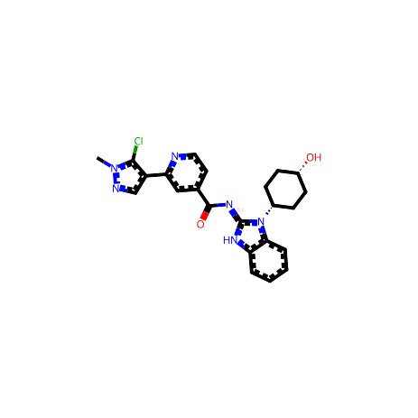 Cn1ncc(-c2cc(C(=O)/N=c3\[nH]c4ccccc4n3[C@H]3CC[C@@H](O)CC3)ccn2)c1Cl